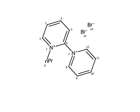 CCC[n+]1ccccc1-[n+]1ccccc1.[Br-].[Br-]